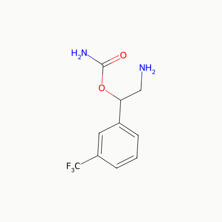 NCC(OC(N)=O)c1cccc(C(F)(F)F)c1